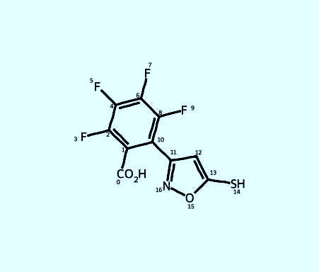 O=C(O)c1c(F)c(F)c(F)c(F)c1-c1cc(S)on1